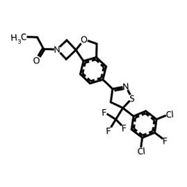 CCC(=O)N1CC2(C1)OCc1cc(C3=NSC(c4cc(Cl)c(F)c(Cl)c4)(C(F)(F)F)C3)ccc12